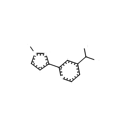 CC(C)c1ccnc(-c2ccn(C)n2)c1